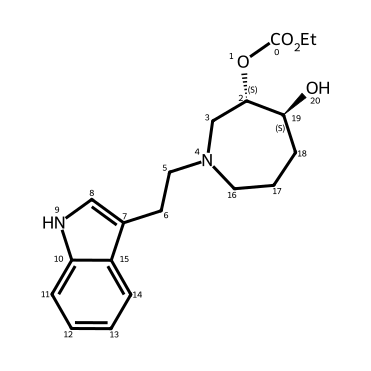 CCOC(=O)O[C@H]1CN(CCc2c[nH]c3ccccc23)CCC[C@@H]1O